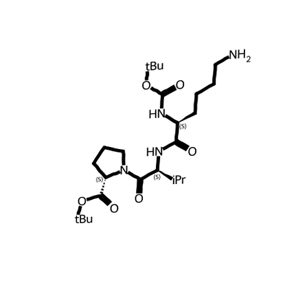 CC(C)[C@H](NC(=O)[C@H](CCCCN)NC(=O)OC(C)(C)C)C(=O)N1CCC[C@H]1C(=O)OC(C)(C)C